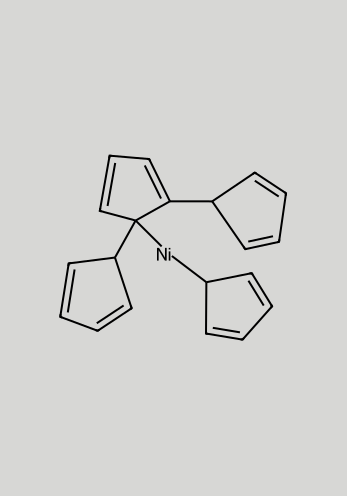 C1=C[CH]([Ni][C]2(C3C=CC=C3)C=CC=C2C2C=CC=C2)C=C1